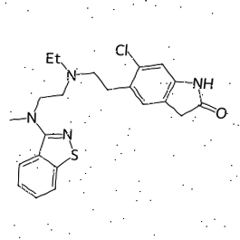 CCN(CCc1cc2c(cc1Cl)NC(=O)C2)CCN(C)c1nsc2ccccc12